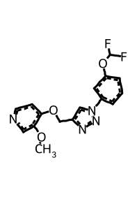 COc1cnccc1OCc1cn(-c2cccc(OC(F)F)c2)nn1